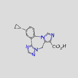 O=C(O)c1ncn2c1Cn1ncnc1-c1cc(C3CC3)ccc1-2